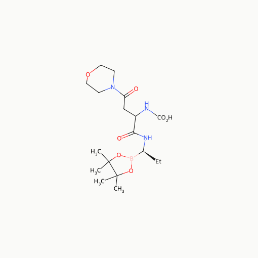 CC[C@H](NC(=O)C(CC(=O)N1CCOCC1)NC(=O)O)B1OC(C)(C)C(C)(C)O1